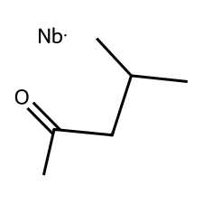 CC(=O)CC(C)C.[Nb]